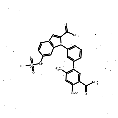 COc1cc(C(F)(F)F)c(-c2cccc(-n3c(C(N)=O)cc4ccc(NS(C)(=O)=O)cc43)c2)cc1C(N)=O